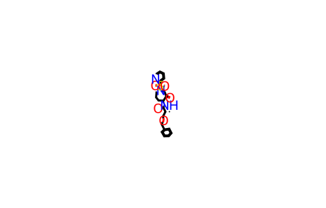 O=C([CH]COCc1ccccc1)N[C@H]1CCCN(S(=O)(=O)c2ccccn2)CC1=O